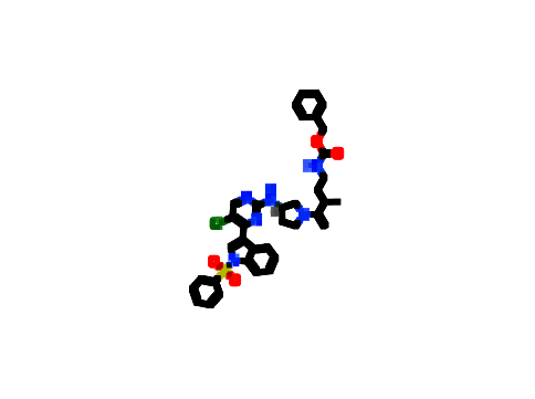 C=C(C(C)CCNC(=O)OCc1ccccc1)N1CC[C@H](Nc2ncc(Cl)c(-c3cn(S(=O)(=O)c4ccccc4)c4ccccc34)n2)C1